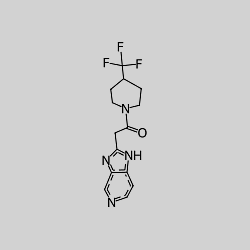 O=C(Cc1nc2cnccc2[nH]1)N1CCC(C(F)(F)F)CC1